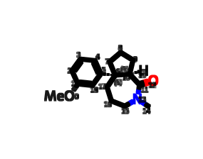 COc1cccc([C@]23CCC[C@H]2C(=O)N(C)CCC3)c1